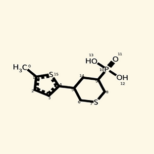 Cc1ccc(C2CSCC(P(=O)(O)O)C2)s1